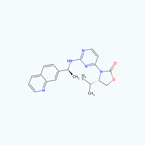 CC(C)[C@H]1COC(=O)N1c1ccnc(N[C@@H](C)c2ccc3cccnc3c2)n1